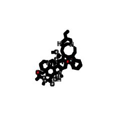 CCC1=C[C@@H]2C[N@@](CCc3c([nH]c4ccccc34)[C@@](C(=O)OC)(c3cc4c(cc3OC)N(C)[C@H]3[C@@](O)(C(=O)OC)[C@H](OC(C)=O)[C@]5(CC)C=CCN6CC[C@]43[C@@H]65)C2)C1